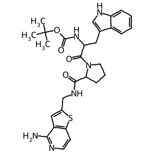 CC(C)(C)OC(=O)NC(Cc1c[nH]c2ccccc12)C(=O)N1CCCC1C(=O)NCc1cc2c(N)nccc2s1